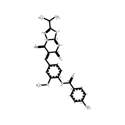 COc1cc(/C=C2/C(=N)N3N=C(C(C)C)SC3=NC2=O)ccc1OC(=O)c1ccc(C)cc1